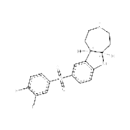 O=S(=O)(c1ccc(F)c(F)c1)c1ccc2c(c1)[C@H]1CCNCC[C@H]1N2